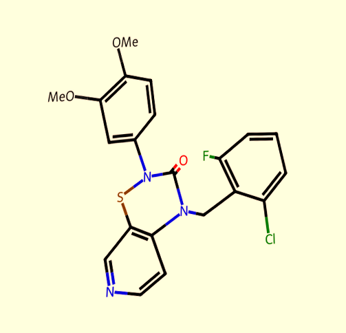 COc1ccc(N2Sc3cnccc3N(Cc3c(F)cccc3Cl)C2=O)cc1OC